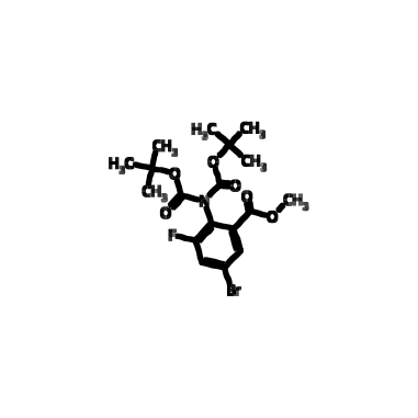 COC(=O)c1cc(Br)cc(F)c1N(C(=O)OC(C)(C)C)C(=O)OC(C)(C)C